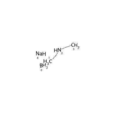 B.CNC.[NaH]